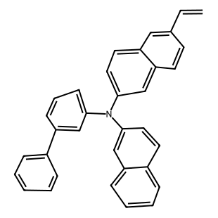 C=Cc1ccc2cc(N(c3cccc(-c4ccccc4)c3)c3ccc4ccccc4c3)ccc2c1